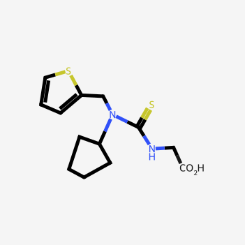 O=C(O)CNC(=S)N(Cc1cccs1)C1CCCC1